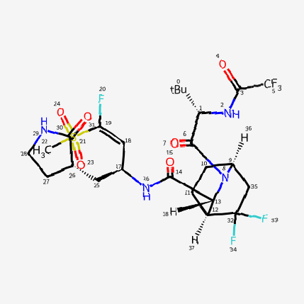 CC(C)(C)[C@H](NC(=O)C(F)(F)F)C(=O)N1[C@H]2CC[C@@H]([C@@H]1C(=O)N[C@H](/C=C(/F)S(C)(=O)=O)C[C@@H]1CCNC1=O)C(F)(F)C2